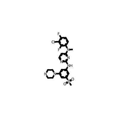 CN(c1ccnc(Nc2cc(N3CC[N]CC3)cc(S(C)(=O)=O)c2)n1)c1ccc(F)c(Cl)c1F